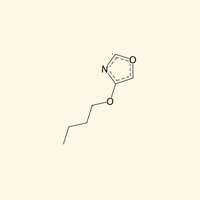 CCCCOc1co[c]n1